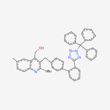 CCCCc1nc2ccc(C)cc2c(CO)c1Cc1ccc(-c2ccccc2-c2nnn(C(c3ccccc3)(c3ccccc3)c3ccccc3)n2)cc1